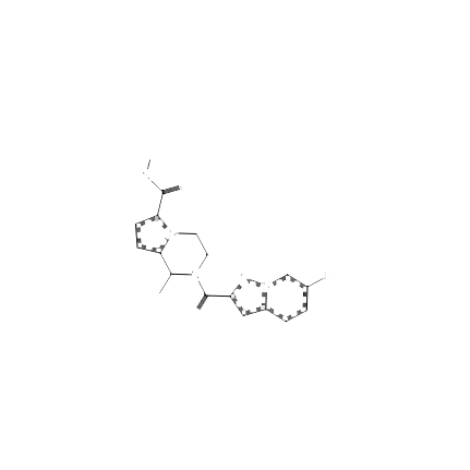 CC(C)NC(=O)c1ccc2n1CCN(C(=O)c1cc3ccc(Br)cn3n1)C2C